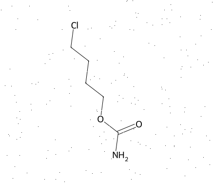 NC(=O)OCCCCCl